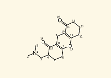 CN(C)CC1CCC2=C(CC3=C(CCCC3=O)O2)C1=O